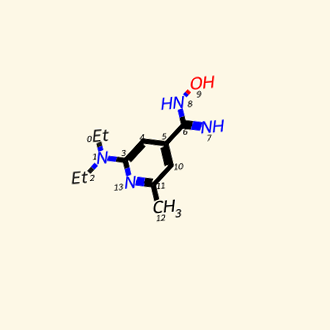 CCN(CC)c1cc(C(=N)NO)cc(C)n1